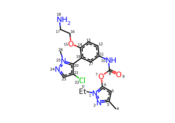 CCn1nc(C)cc1OC(=O)Nc1ccc(OCCN)c(-c2c(Cl)cnn2C)c1